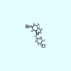 Clc1ccc(Cn2ccc3ccc(Br)cc32)cc1